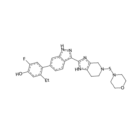 CCc1cc(O)c(F)cc1-c1ccc2c(-c3nc4c([nH]3)CCN(SN3CCOCC3)C4)n[nH]c2c1